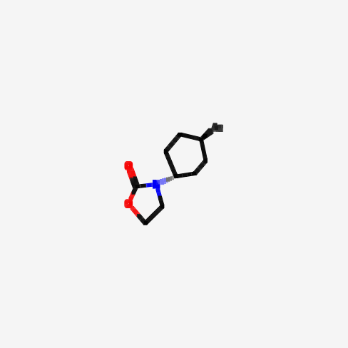 CC(=O)[C@H]1CC[C@H](N2CCOC2=O)CC1